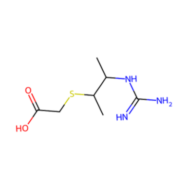 CC(NC(=N)N)C(C)SCC(=O)O